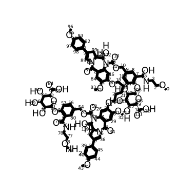 COCCNC(O)c1cc(COC(=O)N2c3cc(OCCCCCOc4cc5c(cc4OC)C(=O)N4C=C(c6ccc(OC)cc6)C[C@H]4C(O)N5C(=O)OCc4ccc(O[C@@H]5O[C@H](C(=O)O)[C@@H](O)[C@H](O)[C@H]5O)c(C(=O)NCCON)c4)c(OC)cc3C(=O)N3C=C(c4ccc(OC)cc4)C[C@H]3C2O)ccc1O[C@@H]1O[C@H](C(=O)O)[C@@H](O)[C@H](O)[C@H]1O